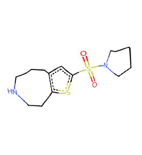 O=S(=O)(c1cc2c(s1)CCNCC2)N1CCCC1